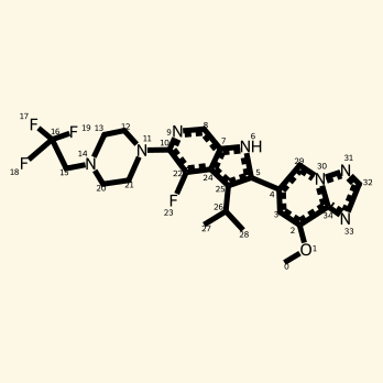 COc1cc(-c2[nH]c3cnc(N4CCN(CC(F)(F)F)CC4)c(F)c3c2C(C)C)cn2ncnc12